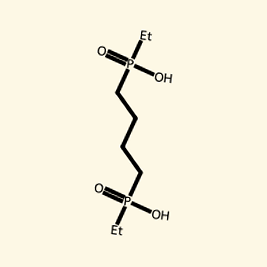 CCP(=O)(O)CCCCP(=O)(O)CC